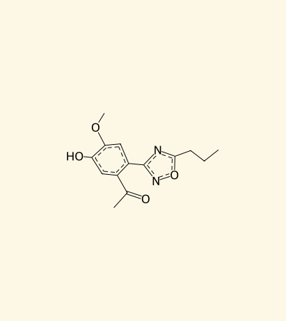 CCCc1nc(-c2cc(OC)c(O)cc2C(C)=O)no1